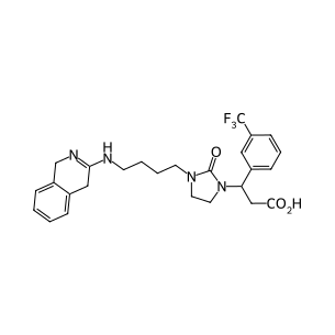 O=C(O)CC(c1cccc(C(F)(F)F)c1)N1CCN(CCCCNC2=NCc3ccccc3C2)C1=O